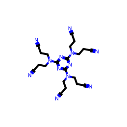 N#CCCN(CCC#N)c1nc(N(CCC#N)CCC#N)nc(N(CCC#N)CCC#N)n1